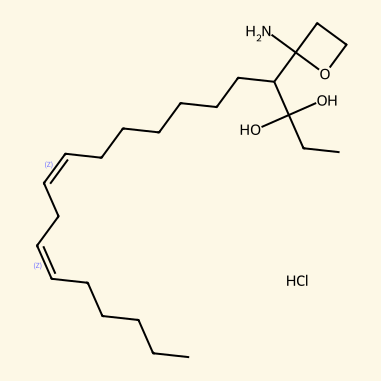 CCCCC/C=C\C/C=C\CCCCCCC(C(O)(O)CC)C1(N)CCO1.Cl